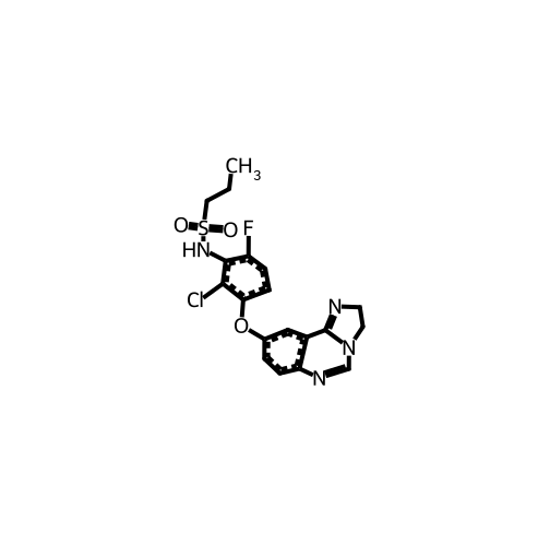 CCCS(=O)(=O)Nc1c(F)ccc(Oc2ccc3c(c2)C2=NCCN2C=N3)c1Cl